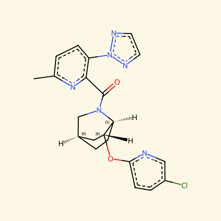 Cc1ccc(-n2nccn2)c(C(=O)N2C[C@@H]3CC[C@H]2[C@H](Oc2ccc(Cl)cn2)C3)n1